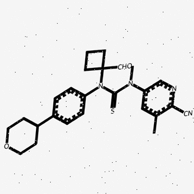 Cc1cc(N(C)C(=S)N(c2ccc(C3CCOCC3)cc2)C2(C=O)CCC2)cnc1C#N